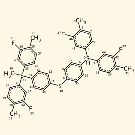 Cc1ccc([SH](c2ccc(Sc3ccc(S(C)(c4ccc(C)c(F)c4)c4ccc(C)c(F)c4)cc3)cc2)c2ccc(C)c(F)c2)cc1F